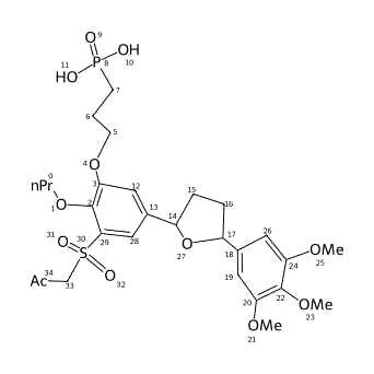 CCCOc1c(OCCCP(=O)(O)O)cc(C2CCC(c3cc(OC)c(OC)c(OC)c3)O2)cc1S(=O)(=O)CC(C)=O